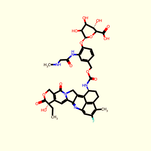 CC[C@@]1(O)C(=O)OCc2c1cc1n(c2=O)Cc2c-1nc1cc(F)c(C)c3c1c2[C@@H](NC(=O)OCc1ccc(O[C@@H]2OC(C(=O)O)[C@@H](O)C(O)C2O)c(NC(=O)CNC)c1)CC3